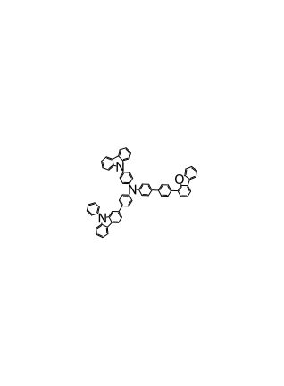 c1ccc(-n2c3ccccc3c3ccc(-c4ccc(N(c5ccc(-c6ccc(-c7cccc8c7oc7ccccc78)cc6)cc5)c5ccc(-n6c7ccccc7c7ccccc76)cc5)cc4)cc32)cc1